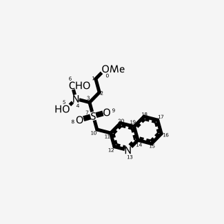 COCCC(N(O)C=O)S(=O)(=O)Cc1cnc2ccccc2c1